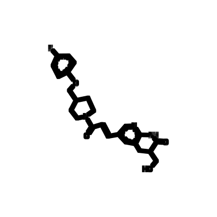 O=C1Nc2ncc(C=CC(=O)N3CCC(COc4ccc(F)cc4)CC3)cc2CC1CO